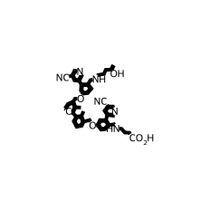 C=C(O)CCCNCc1ccc(OCc2cccc(-c3cccc(COc4ccc(CNCCCC(=O)O)c(-c5cncc(C#N)c5)c4)c3C)c2C)cc1-c1cncc(C#N)c1